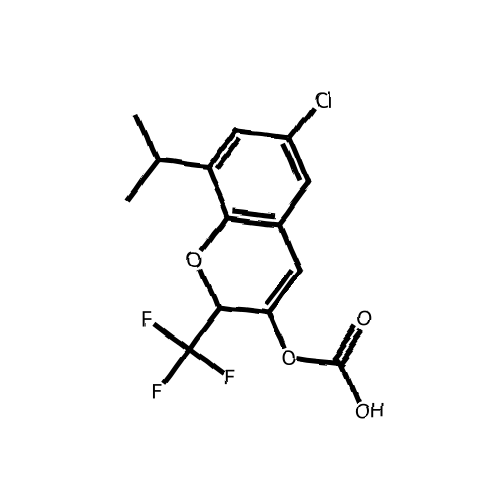 CC(C)c1cc(Cl)cc2c1OC(C(F)(F)F)C(OC(=O)O)=C2